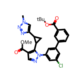 COC(=O)c1cnn(-c2cc(Cl)cc(-c3cccc(C(=O)OC(C)(C)C)c3)c2)c1C1CC1c1cn(C)nn1